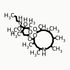 CCCNC[C@]1(O)[C@H](C)O[C@H](OC2OC(=O)C(C)CC(C)CC(C)CC(C)CNC(C)CC2C)C[C@@]1(C)OC